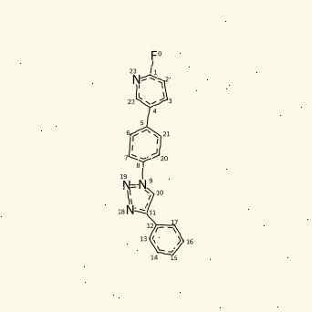 Fc1ccc(-c2ccc(-n3cc(-c4ccccc4)nn3)cc2)cn1